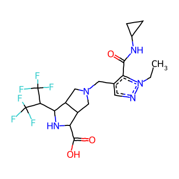 CCn1ncc(CN2CC3C(C(=O)O)NC(C(C(F)(F)F)C(F)(F)F)C3C2)c1C(=O)NC1CC1